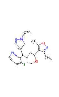 Cc1noc(C)c1C1CC(C(c2ncccc2F)[C@H]2C=NN(C)C2)CCO1